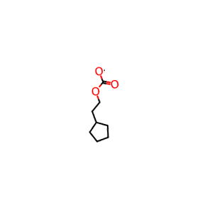 [O]C(=O)OCCC1CCCC1